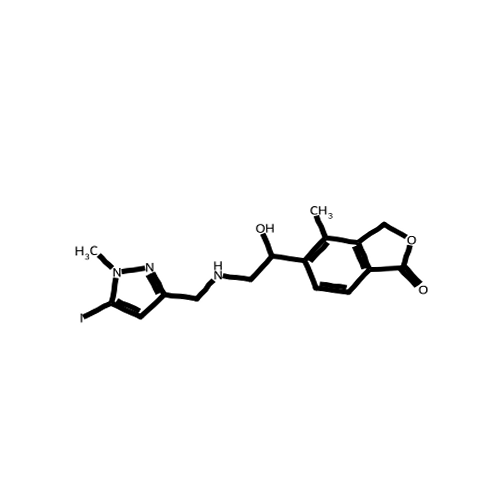 Cc1c(C(O)CNCc2cc(I)n(C)n2)ccc2c1COC2=O